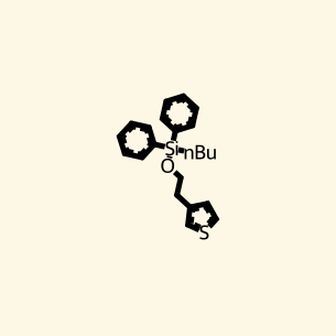 CCCC[Si](OCCc1ccsc1)(c1ccccc1)c1ccccc1